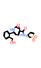 O=C(N[C@@H]1C=CS(=O)(=O)C1)C1=CC=C(c2ccccc2CO)NC2OC12